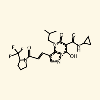 CC(C)Cn1c(=O)c(C(=O)NC2CC2)c(O)n2ncc(C=CC(=O)N3CCCC3C(F)(F)F)c12